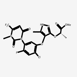 COC(=O)[C@H](C)Oc1n[nH]c(C)c1Oc1cc(-n2c(=O)cc(C(F)(F)F)n(C)c2=O)c(F)cc1Cl